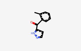 Cc1ccccc1C(=O)c1ccn[nH]1